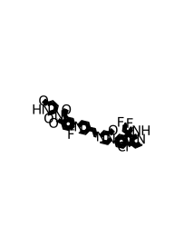 O=C1CCC(N2C(=O)c3cc(F)c(N4CCC(CCN5CCN(c6cccc(C7(CC(F)F)CNc8nccc(Cl)c87)c6)C(=O)C5)CC4)cc3C2=O)C(=O)N1